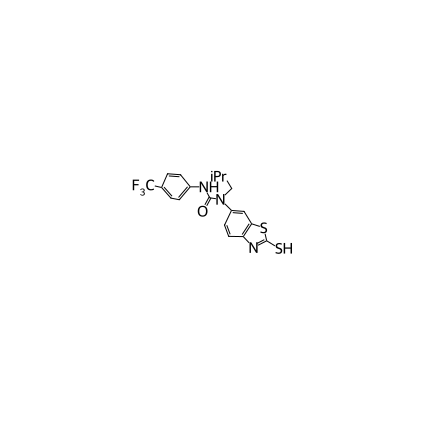 CC(C)CN(C(=O)Nc1ccc(C(F)(F)F)cc1)c1ccc2nc(S)sc2c1